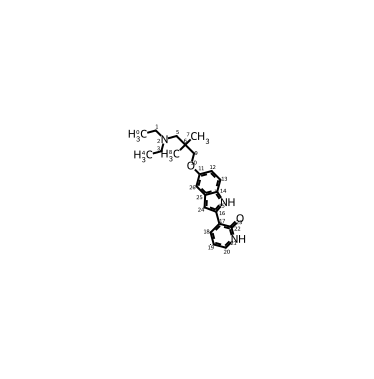 CCN(CC)CC(C)(C)COc1ccc2[nH]c(-c3c[c]c[nH]c3=O)cc2c1